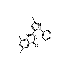 Cc1cc(C)c2nc(-c3cc(C)nn3-c3ccccc3)oc(=O)c2c1